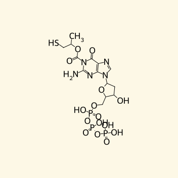 CC(CS)OC(=O)n1c(N)nc2c(ncn2C2CC(O)C(COP(=O)(O)OP(=O)(O)OP(=O)(O)O)O2)c1=O